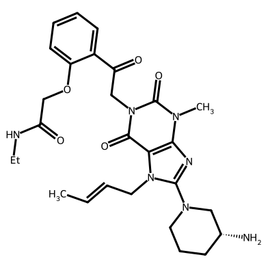 CC=CCn1c(N2CCC[C@@H](N)C2)nc2c1c(=O)n(CC(=O)c1ccccc1OCC(=O)NCC)c(=O)n2C